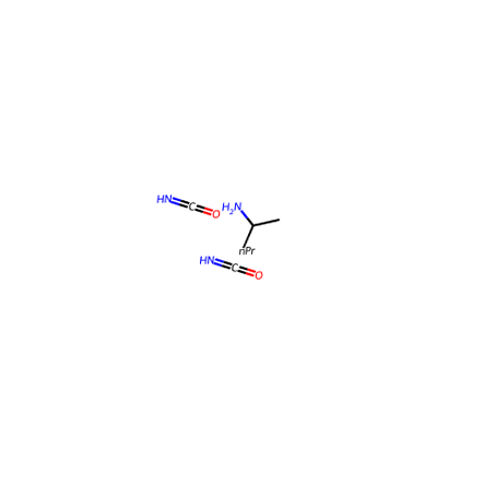 CCCC(C)N.N=C=O.N=C=O